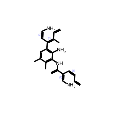 C=C/C=C\C(=C/N)C(=C)Nc1c(C)c(C)cc(C(/C=C\N)=C(\C)C=C)c1N